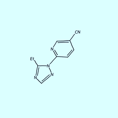 CCc1ncnn1-c1ccc(C#N)cn1